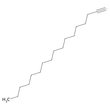 [C]#CCCCCCCCCCCCCCCC